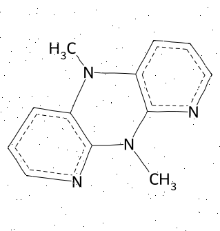 CN1c2cccnc2N(C)c2ncccc21